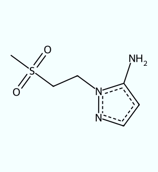 CS(=O)(=O)CCn1nccc1N